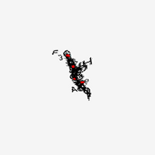 CC(=O)N(CCOCCF)c1cc(C)c(CCS(=O)(=O)N2CCC3(CC2)N=C(C2CCC(CCC(F)(F)F)CC2)NC3=O)c(C)c1